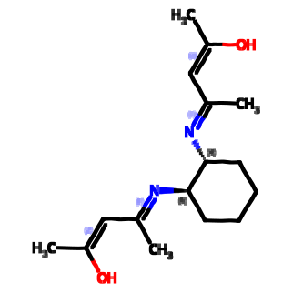 C/C(O)=C/C(C)=N/[C@@H]1CCCC[C@H]1/N=C(C)/C=C(/C)O